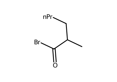 CCCCC(C)C(=O)Br